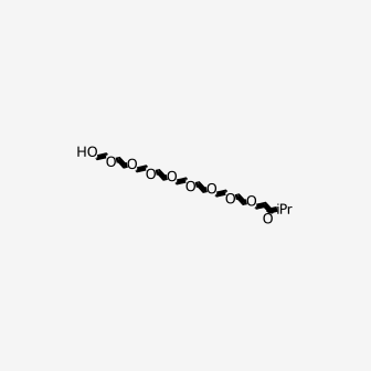 CC(C)C(=O)CCOCCOCCOCCOCCOCCOCCOCCOCCO